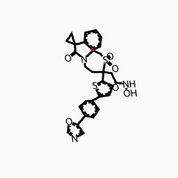 O=C(CC1(c2ccc(-c3ccc(-c4cnco4)cc3)s2)CCN(C(=O)C2(c3ccccc3)CC2)CCS1(=O)=O)NO